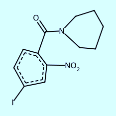 O=C(c1ccc(I)cc1[N+](=O)[O-])N1CCCCC1